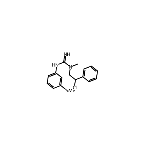 CSc1cccc(NC(=N)N(C)CC(Cl)c2ccccc2)c1